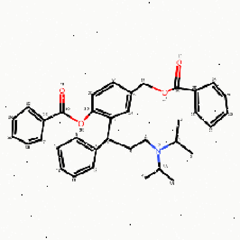 CC(C)N(CCC(c1ccccc1)c1cc(COC(=O)c2ccccc2)ccc1OC(=O)c1ccccc1)C(C)C